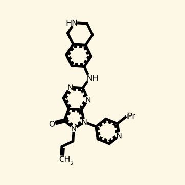 C=CCn1c(=O)c2cnc(Nc3ccc4c(c3)CCNC4)nc2n1-c1ccnc(C(C)C)c1